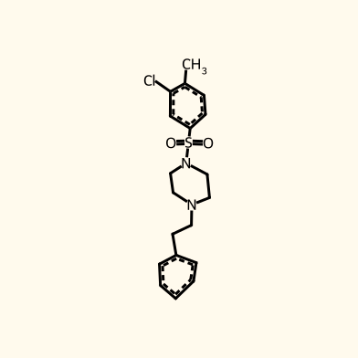 Cc1ccc(S(=O)(=O)N2CCN(CCc3ccccc3)CC2)cc1Cl